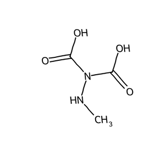 CNN(C(=O)O)C(=O)O